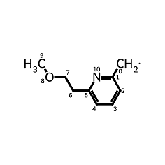 [CH2]c1cccc(CCOC)n1